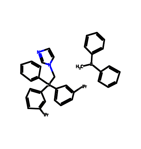 CB(c1ccccc1)c1ccccc1.CC(C)c1cccc([Si](Cn2ccnc2)(c2ccccc2)c2cccc(C(C)C)c2)c1